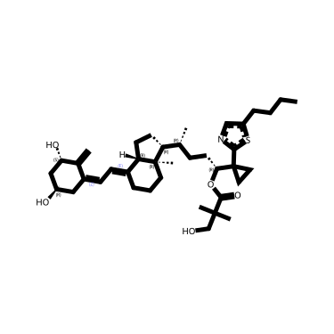 C=C1/C(=C\C=C2/CCC[C@]3(C)[C@@H]([C@H](C)CC[C@@H](OC(=O)C(C)(C)CO)C4(c5ncc(CCCC)s5)CC4)CC[C@@H]23)C[C@@H](O)C[C@@H]1O